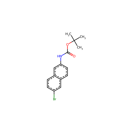 CC(C)(C)OC(=O)Nc1ccc2cc(Br)ccc2c1